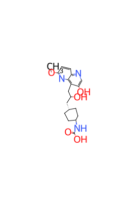 COc1ccc2ncc(O)c(CC(O)C[C@H]3CC[C@H](NC(=O)O)CC3)c2n1